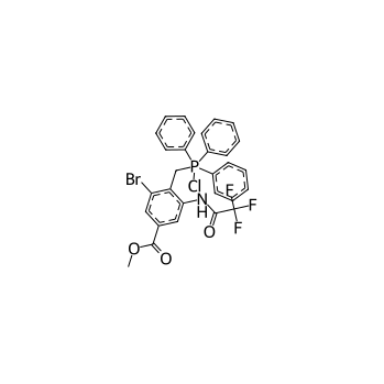 COC(=O)c1cc(Br)c(CP(Cl)(c2ccccc2)(c2ccccc2)c2ccccc2)c(NC(=O)C(F)(F)F)c1